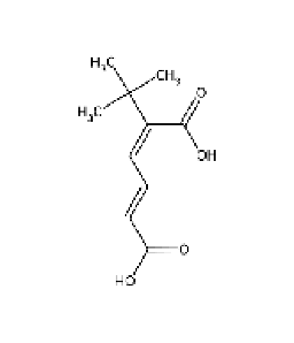 CC(C)(C)C(=CC=CC(=O)O)C(=O)O